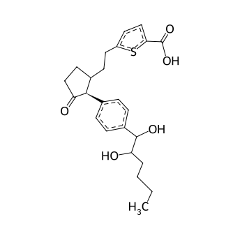 CCCCC(O)C(O)c1ccc([C@H]2C(=O)CCC2CCc2ccc(C(=O)O)s2)cc1